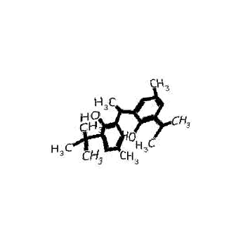 Cc1cc(C(C)C)c(O)c(C(C)c2cc(C)cc(C(C)(C)C)c2O)c1